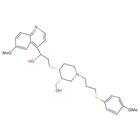 COc1ccc(SCCCN2CC[C@@H](CCC(O)c3ccnc4ccc(OC)cc34)[C@@H](CO)C2)cc1